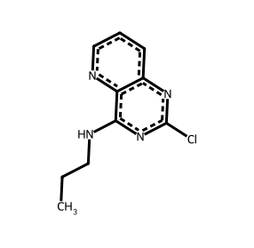 CCCNc1nc(Cl)nc2cccnc12